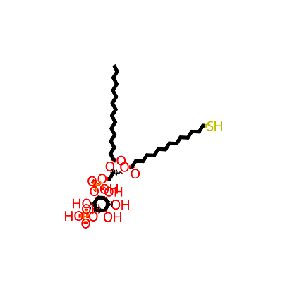 CCCCCCCCCCCCCCCC(=O)O[C@H](COC(=O)CCCCCCCCCCCCCS)COP(=O)(O)OC1C(O)[C@@H](O)C(O)[C@@H](OP(=O)(O)O)[C@H]1O